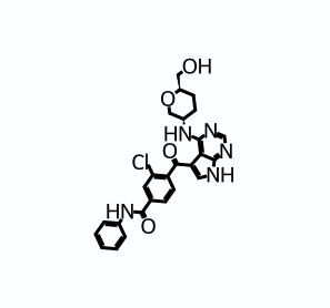 O=C(Nc1ccccc1)c1ccc(C(=O)c2c[nH]c3ncnc(N[C@H]4CC[C@H](CO)OC4)c23)c(Cl)c1